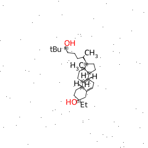 CC[C@]1(O)CC[C@H]2C(=CC[C@@H]3[C@@H]2CC[C@]2(C)[C@@H](C(C)CCC[C@@H](O)C(C)(C)C)CC[C@@H]32)C1